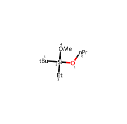 CCCO[Si](CC)(OC)C(C)(C)C